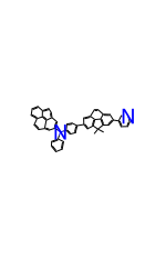 CC1(C)c2cc(-c3ccc(N(c4ccccc4)c4cc5ccc6cccc7ccc(c4)c5c67)cc3)cc3ccc4cc(-c5cccnc5)cc1c4c23